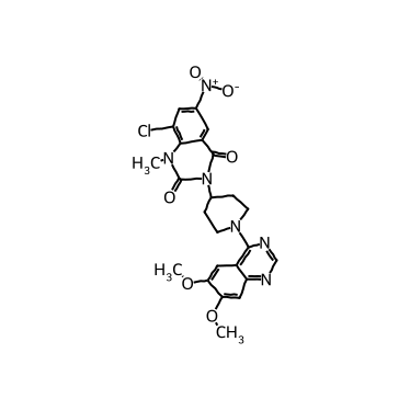 COc1cc2ncnc(N3CCC(n4c(=O)c5cc([N+](=O)[O-])cc(Cl)c5n(C)c4=O)CC3)c2cc1OC